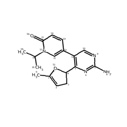 CC1=CCC(c2nc(N)ncc2-c2ccc(=O)n(C(C)C)c2)O1